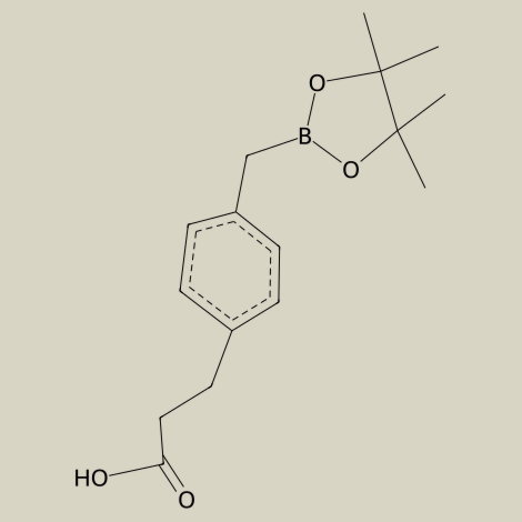 CC1(C)OB(Cc2ccc(CCC(=O)O)cc2)OC1(C)C